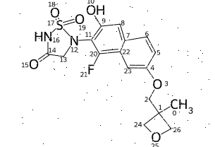 CC1(COc2ccc3cc(O)c(N4CC(=O)NS4(=O)=O)c(F)c3c2)COC1